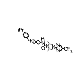 CC(C)c1ccc(CN2CC3(CC(NC(=O)N4[C@H](C)CN(c5ncc(C(F)(F)F)cn5)C[C@@H]4C)C3)C2)cc1